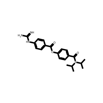 CC(C)N(C(=O)c1ccc(OC(=O)c2ccc(NC(=N)N)cc2)cc1)C(C)C